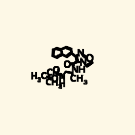 CC(CNC(=O)OC(C)(C)C)NC(=O)c1c(-c2ccc3ccccc3c2)nc2occn12